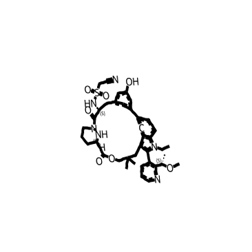 CCn1c(-c2cccnc2[C@H](C)OC)c2c3cc(ccc31)-c1cc(O)cc(c1)C[C@H](NS(=O)(=O)CC#N)C(=O)N1CCC[C@H](N1)C(=O)OCC(C)(C)C2